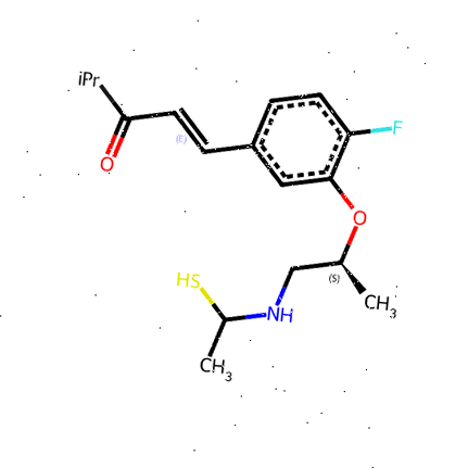 CC(S)NC[C@H](C)Oc1cc(/C=C/C(=O)C(C)C)ccc1F